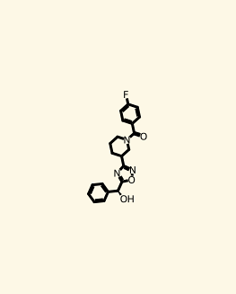 O=C(c1ccc(F)cc1)N1CCCC(c2noc([C@@H](O)c3ccccc3)n2)C1